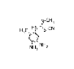 C/N=C(/Nc1cc(N)c(N)cc1C)SC#N